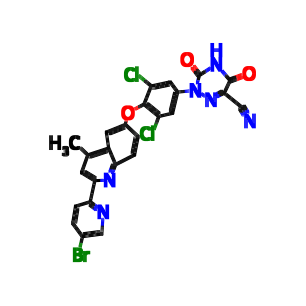 Cc1cc(-c2ccc(Br)cn2)nc2ccc(Oc3c(Cl)cc(-n4nc(C#N)c(=O)[nH]c4=O)cc3Cl)cc12